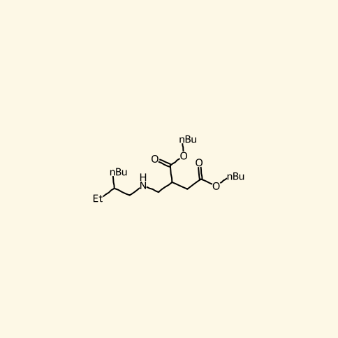 CCCCOC(=O)CC(CNCC(CC)CCCC)C(=O)OCCCC